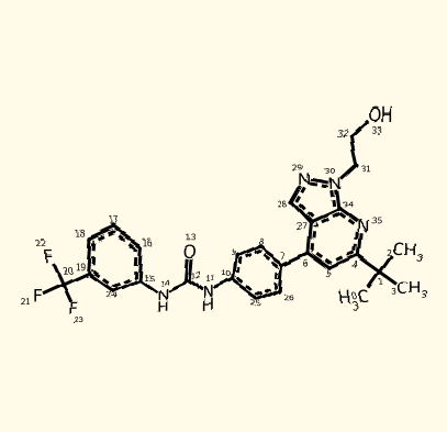 CC(C)(C)c1cc(-c2ccc(NC(=O)Nc3cccc(C(F)(F)F)c3)cc2)c2cnn(CCO)c2n1